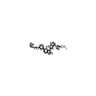 Cc1cn(-c2ccnc3[nH]c(-c4n[nH]c5ccc(-c6cncc(OCCN7CCCC7)c6)nc45)cc23)cn1